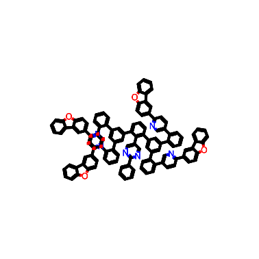 c1ccc(-c2ncc(-c3c(-c4cc(-c5ccccc5-c5ccc(-c6ccc7oc8ccccc8c7c6)nc5)cc(-c5ccccc5-c5ccc(-c6ccc7oc8ccccc8c7c6)nc5)c4)cccc3-c3cc(-c4ccccc4-c4ccc(-c5ccc6oc7ccccc7c6c5)nc4)cc(-c4ccccc4-c4ccc(-c5ccc6oc7ccccc7c6c5)nc4)c3)cn2)cc1